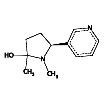 CN1[C@H](c2cccnc2)CCC1(C)O